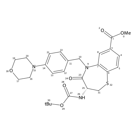 COC(=O)c1ccc2c(c1)N(Cc1ccc(N3CCOCC3)cc1)C(=O)[C@@H](NC(=O)OC(C)(C)C)CS2